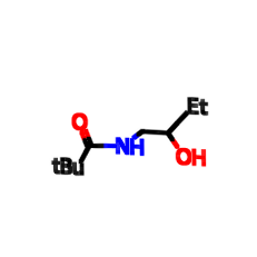 CCC(O)CNC(=O)C(C)(C)C